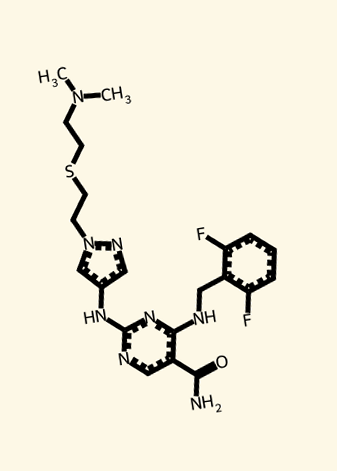 CN(C)CCSCCn1cc(Nc2ncc(C(N)=O)c(NCc3c(F)cccc3F)n2)cn1